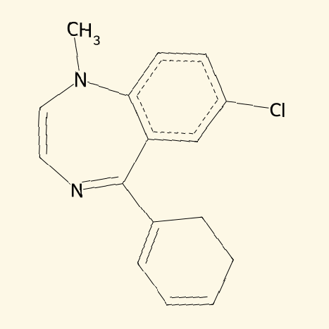 CN1C=CN=C(C2=CC=CCC2)c2cc(Cl)ccc21